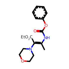 CCOC(=O)C(=C(C)NC(=O)Oc1ccccc1)N1CCOCC1